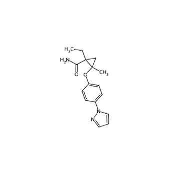 CCC1(C(N)=O)CC1(C)Oc1ccc(-n2cccn2)cc1